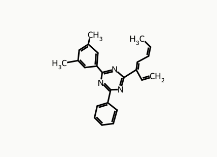 C=C/C(=C\C=C/C)c1nc(-c2ccccc2)nc(-c2cc(C)cc(C)c2)n1